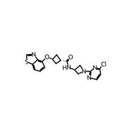 O=C(NC1CN(c2nccc(Cl)n2)C1)[C@H]1C[C@H](Oc2cccc3scnc23)C1